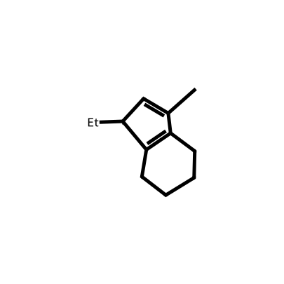 CC[C]1C=C(C)C2=C1CCCC2